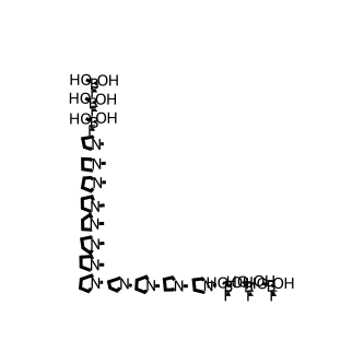 CN1CCCC1.CN1CCCC1.CN1CCCC1.CN1CCCC1.CN1CCCC1.CN1CCCC1.CN1CCCC1.CN1CCCC1.CN1CCCC1.CN1CCCC1.CN1CCCC1.CN1CCCC1.OB(O)F.OB(O)F.OB(O)F.OB(O)F.OB(O)F.OB(O)F